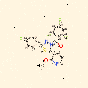 COc1ncccc1C1SC(c2ccc(F)cc2)=NN1C(=O)c1c(F)cc(F)cc1F